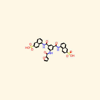 O=C(Nc1cccc2cc(S(=O)(=O)O)ccc12)c1cc(NC(=O)c2ccco2)cc(C(=O)Nc2cccc3cc(S(=O)(=O)O)ccc23)c1